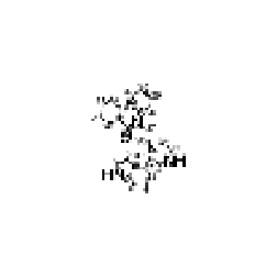 C[C@@]1(c2cccc3[nH]ccc23)CNCCN1CCN(C(=O)C1CCCCC1)c1ccccn1